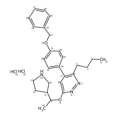 CCCCc1nnc(OC(C)C2CCNC2)cc1-c1ccc(OCc2ccccc2)cc1.Cl.Cl